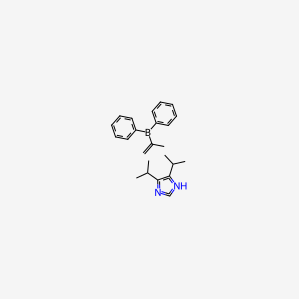 C=C(C)B(c1ccccc1)c1ccccc1.CC(C)c1nc[nH]c1C(C)C